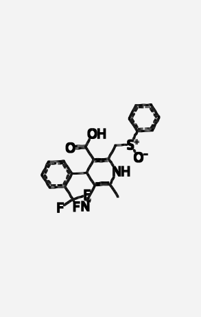 CC1=C(C#N)C(c2ccccc2C(F)(F)F)C(C(=O)O)=C(C[S+]([O-])c2ccccc2)N1